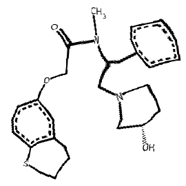 CN(C(=O)COc1ccc2c(c1)CCS2)C(CN1CC[C@H](O)C1)c1ccccc1